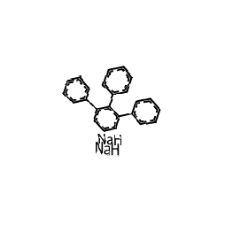 [NaH].[NaH].c1ccc(-c2cccc(-c3ccccc3)c2-c2ccccc2)cc1